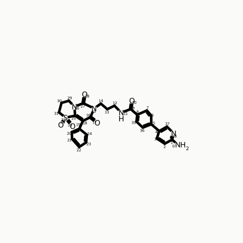 Nc1ccc(-c2ccc(C(=O)NCCCn3c(=O)c(-c4ccccc4)c4n(c3=O)CCCS4(=O)=O)cc2)cn1